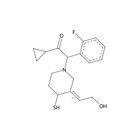 O=C(C1CC1)C(c1ccccc1F)N1CCC(S)/C(=C/CO)C1